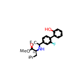 COC(=O)[C@H](CC(C)C)NC(c1ccc(-c2ccccc2O)c(F)c1)C(F)(F)F